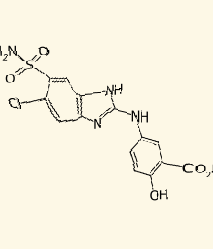 NS(=O)(=O)c1cc2[nH]c(Nc3ccc(O)c(C(=O)O)c3)nc2cc1Cl